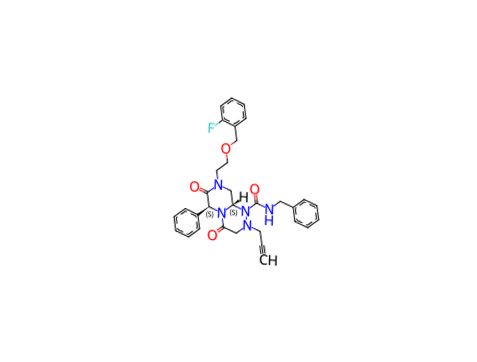 C#CCN1CC(=O)N2[C@@H](c3ccccc3)C(=O)N(CCOCc3ccccc3F)C[C@@H]2N1C(=O)NCc1ccccc1